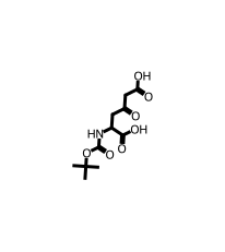 CC(C)(C)OC(=O)NC(CC(=O)CC(=O)O)C(=O)O